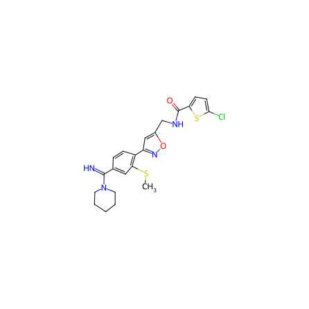 CSc1cc(C(=N)N2CCCCC2)ccc1-c1cc(CNC(=O)c2ccc(Cl)s2)on1